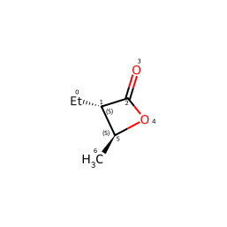 CC[C@@H]1C(=O)O[C@H]1C